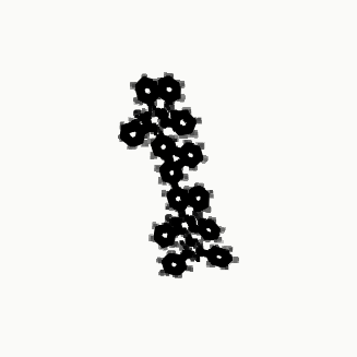 c1ccc(B2c3sc4ccccc4c3N(c3ccc4c5ccc(-c6ccc(B7c8sc9ccccc9c8N(c8nc(-c9ccccc9)nc(-c9ccccc9)n8)c8c7n(-c7ccccc7)c7ccccc87)cc6)cc5c5ccccc5c4c3)c3c2n(-c2ccccc2)c2ccccc32)cc1